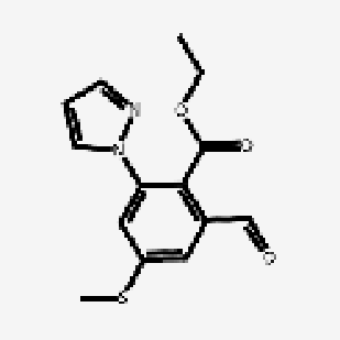 CCOC(=O)c1c(C=O)cc(SC)cc1-n1cccn1